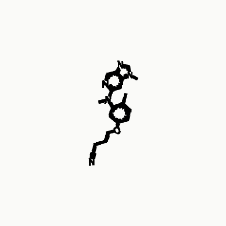 Cc1ccc(OCCCC#N)cc1N(C)c1cc2c(cn1)ncn2C